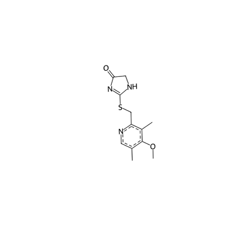 COc1c(C)cnc(CSC2=NC(=O)CN2)c1C